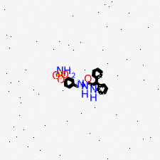 NS(=O)(=O)Oc1ccc(/C=N/NC(=O)c2[nH]c3ccccc3c2-c2ccccc2)cc1